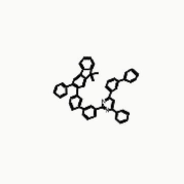 CC1(C)c2ccccc2-c2cc(-c3ccccc3)c(-c3cccc(-c4cccc(-c5nc(-c6ccccc6)cc(-c6cccc(-c7ccccc7)c6)n5)c4)c3)cc21